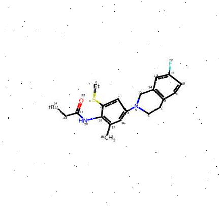 CCSc1cc(N2CCc3ccc(F)cc3C2)cc(C)c1NC(=O)CC(C)(C)C